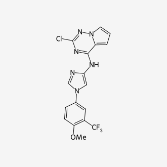 COc1ccc(-n2cnc(Nc3nc(Cl)nn4cccc34)c2)cc1C(F)(F)F